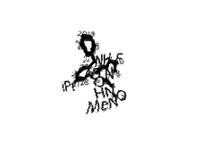 CNC(=O)NCC(=O)N1CC(F)CC1C(=O)NC(c1ccccc1)c1ccc(C(C)C)cn1